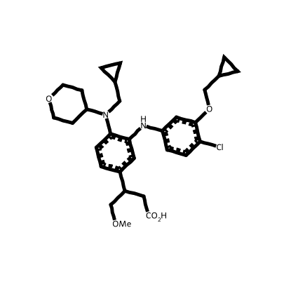 COCC(CC(=O)O)c1ccc(N(CC2CC2)C2CCOCC2)c(Nc2ccc(Cl)c(OCC3CC3)c2)c1